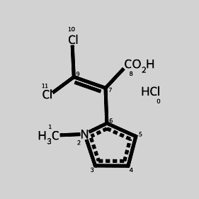 Cl.Cn1cccc1C(C(=O)O)=C(Cl)Cl